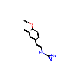 C=C/C=C(\C=C/C(C)OCCC)/C=C/NC1=NN1